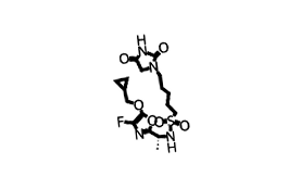 C[C@@H](NS(=O)(=O)CCCCCN1CC(=O)NC1=O)c1nc(F)c(OCC2CC2)o1